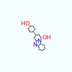 Oc1ccc(-c2cc(O)n3c(c2)nc2ccccc23)cc1